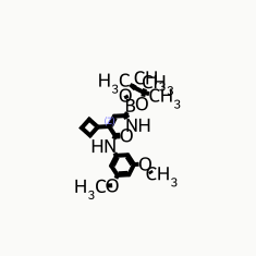 COc1cc(NC(=O)/C(=C\C(=N)B2OC(C)(C)C(C)(C)O2)C2CCC2)cc(OC)c1